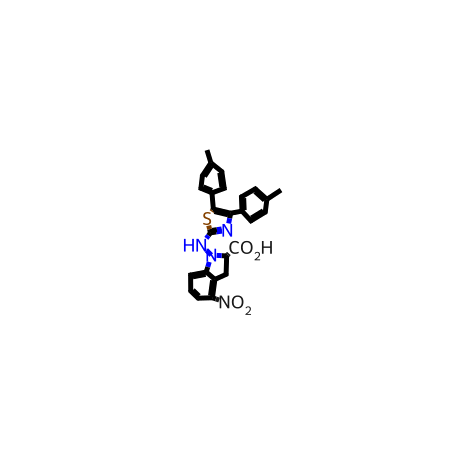 Cc1ccc(-c2nc(NN3c4cccc([N+](=O)[O-])c4CC3C(=O)O)sc2-c2ccc(C)cc2)cc1